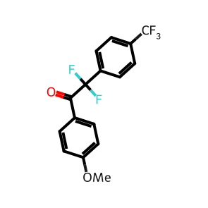 COc1ccc(C(=O)C(F)(F)c2ccc(C(F)(F)F)cc2)cc1